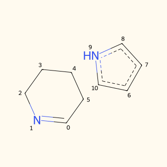 C1=NCCCC1.c1cc[nH]c1